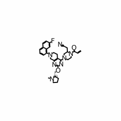 C=CC(=O)N1CCN(c2nc(OC[C@@H]3CCCN3C)nc3c2CCN(c2cccc4ccc(F)cc24)C3)CC1CC#N